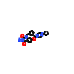 O=C(c1cccc(Cn2c(=O)[nH]c(=O)c3ccccc32)c1)N1CCN(C2CCCC2)CC1